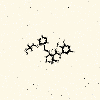 COc1c(F)cc(F)cc1NC(=S)C1=C(NCc2ccncc2OCC(C)(C)OC)CCNC1=O